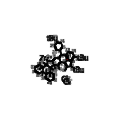 CC1=C(C2=C(C)C3(C)C(=CC2=C(c2ccc(C(C)(C)C)cc2)c2ccc(C(C)(C)C)cc2)[CH]([Zr+2])C2(C)C4(C)C=CC=CC4(C)C4(C)C=CC=CC4(C)C32C)C(C)C=C1C(C)(C)C.[Cl-].[Cl-]